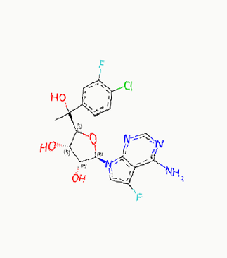 CC(O)(c1ccc(Cl)c(F)c1)[C@H]1O[C@@H](n2cc(F)c3c(N)ncnc32)[C@H](O)[C@@H]1O